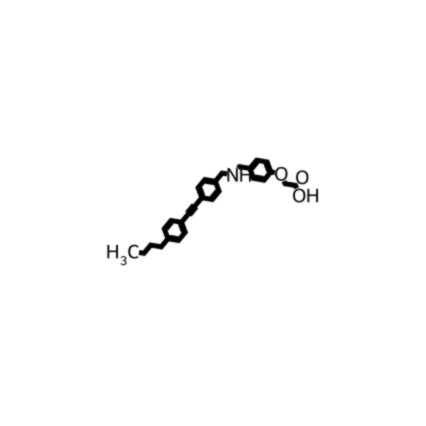 CCCCc1ccc(C#Cc2ccc(CNCc3ccc(OCC(=O)O)cc3)cc2)cc1